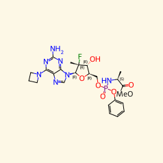 COC(=O)[C@H](C)NP(=O)(OC[C@H]1O[C@@H](n2cnc3c(N4CCC4)nc(N)nc32)[C@](C)(F)[C@@H]1O)Oc1ccccc1